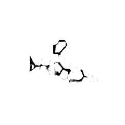 C=C(C#N)[C@H](C)NC(=O)c1cnc(C(F)(F)C2CC2)nc1Oc1ccccc1